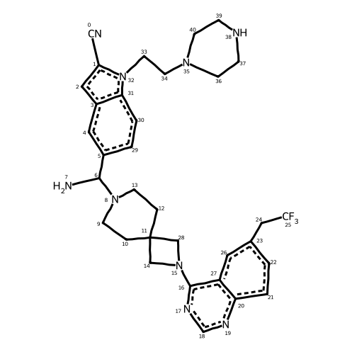 N#Cc1cc2cc(C(N)N3CCC4(CC3)CN(c3ncnc5ccc(CC(F)(F)F)cc35)C4)ccc2n1CCN1CCNCC1